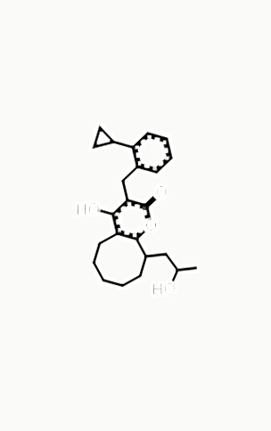 CC(O)CC1CCCCCc2c1oc(=O)c(Cc1ccccc1C1CC1)c2O